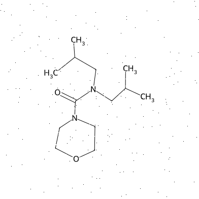 CC(C)CN(CC(C)C)C(=O)N1CCOCC1